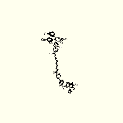 CC(=O)c1c(C)c2cnc(Nc3ccc(N4CCN(C(=O)CCCCCCCCCC(=O)N5CCN(S(=O)(=O)C[C@@H](N6C(=O)[C@]7(C=C(O)C7)C[C@H](c7cccc(Cl)c7)[C@H]6c6ccc(Cl)cc6)C(C)(C)C)CC5)CC4)cn3)nc2n(C2CCCC2)c1=O